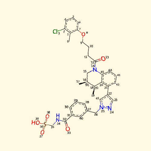 Cc1c(Cl)cccc1OCCCC(=O)N1C[C@H](C)[C@H](C)c2c(-c3cnn(Cc4cccc(C(=O)NCS(=O)(=O)O)c4)c3)cccc21